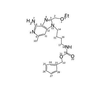 CCOCc1nc2c(N)nc(C)cc2n1CCCCNC(=O)OCc1ccccc1